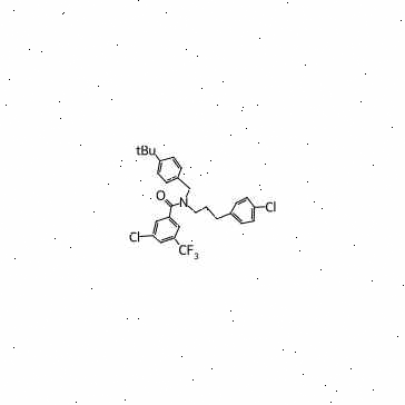 CC(C)(C)c1ccc(CN(CCCc2ccc(Cl)cc2)C(=O)c2cc(Cl)cc(C(F)(F)F)c2)cc1